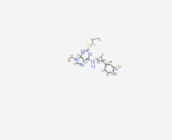 CCCSc1nc(N[C@@H]2C[C@H]2c2ccc(F)c(F)c2)c2ncn(CC)c2n1